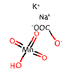 O=C([O-])[O-].[K+].[Na+].[O]=[Mn](=[O])(=[O])[OH]